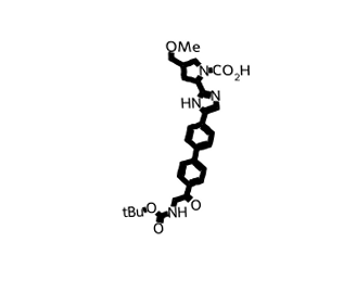 COCC1CC(c2ncc(-c3ccc(-c4ccc(C(=O)CNC(=O)OC(C)(C)C)cc4)cc3)[nH]2)N(C(=O)O)C1